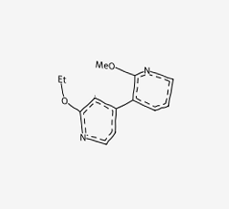 CCOc1[c]c(-c2cccnc2OC)ccn1